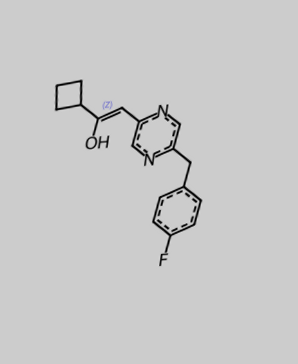 O/C(=C\c1cnc(Cc2ccc(F)cc2)cn1)C1CCC1